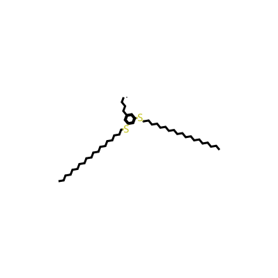 [CH2]CCCc1cc(SCCCCCCCCCCCCCCCCCCC)cc(SCCCCCCCCCCCCCCCCCCC)c1